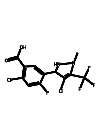 CN1NC(c2cc(C(=O)O)c(Cl)cc2F)C(Cl)=C1C(F)(F)F